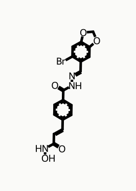 O=C(/C=C/c1ccc(C(=O)N/N=C/c2cc3c(cc2Br)OCO3)cc1)NO